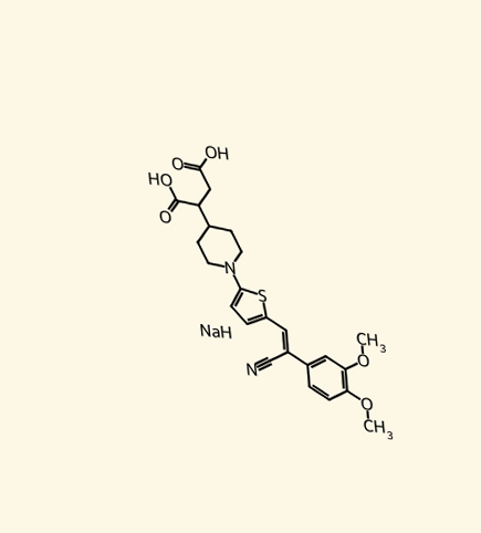 COc1ccc(C(C#N)=Cc2ccc(N3CCC(C(CC(=O)O)C(=O)O)CC3)s2)cc1OC.[NaH]